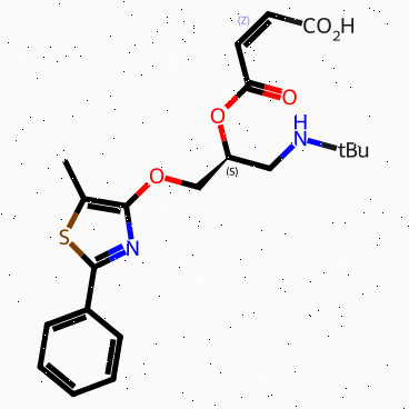 Cc1sc(-c2ccccc2)nc1OC[C@H](CNC(C)(C)C)OC(=O)/C=C\C(=O)O